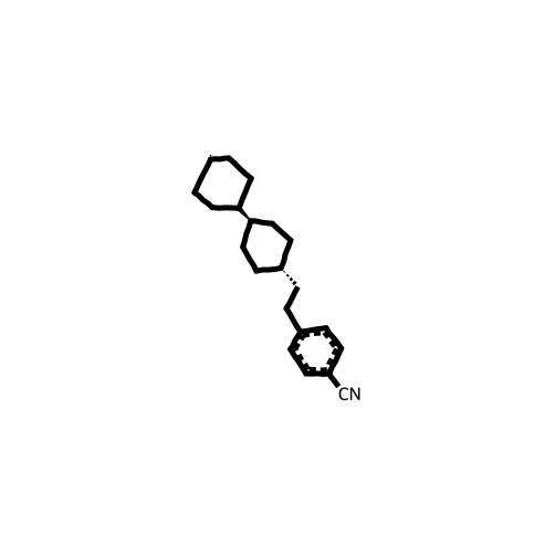 N#Cc1ccc(CC[C@H]2CC[C@H](C3CC[CH]CC3)CC2)cc1